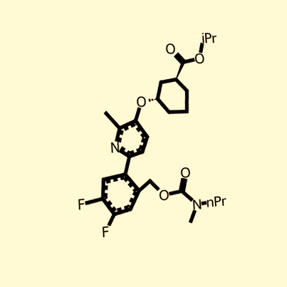 CCCN(C)C(=O)OCc1cc(F)c(F)cc1-c1ccc(O[C@H]2CCC[C@H](C(=O)OC(C)C)C2)c(C)n1